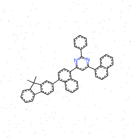 CC1(C)c2ccccc2-c2ccc(-c3ccc(-c4cc(-c5cccc6ccccc56)nc(-c5ccccc5)n4)c4ccccc34)cc21